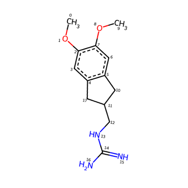 COc1cc2c(cc1OC)CC(CNC(=N)N)C2